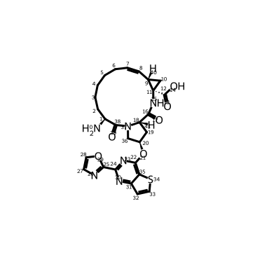 N[C@H]1CCCCCC=C[C@@H]2C[C@@]2(C(=O)O)NC(=O)[C@@H]2C[C@@H](Oc3nc(-c4ncco4)nc4ccsc34)CN2C1=O